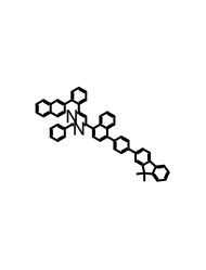 CC1(C)c2ccccc2-c2ccc(-c3ccc(-c4ccc(-c5cc(-c6ccccc6-c6ccc7ccccc7c6)nc(-c6ccccc6)n5)c5ccccc45)cc3)cc21